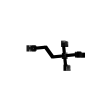 CC[Si](CC)(CCO)C(C)(C)C